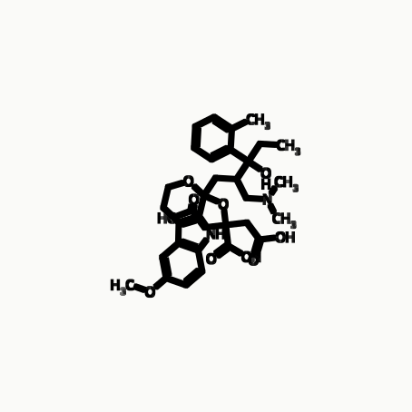 CCC(O)(c1ccccc1C)C(CN(C)C)CC1(OC(CC(=O)O)(CC(=O)O)C(=O)O)OCCc2c1[nH]c1ccc(OC)cc21